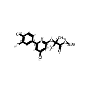 CC(C)(C)OC(=O)C(C)(C)Oc1cc(Cl)cc(-c2ccc(Cl)c(F)c2)n1